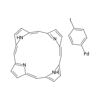 C1=Cc2cc3ccc(cc4nc(cc5ccc(cc1n2)[nH]5)C=C4)[nH]3.[Pd][c]1ccc(I)cc1